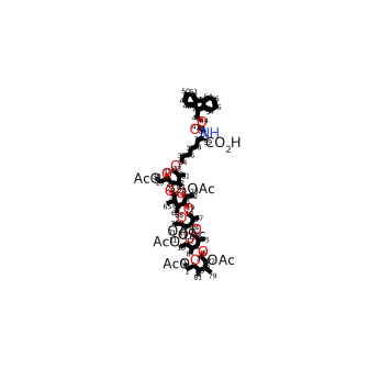 CC(=O)OCC1OC(OC2C(C)C(COC(C)=O)OC(OC3C(C)C(OC4C(COC(C)=O)OC(OC5C(COC(C)=O)OC(OCCCCCC[C@H](NC(=O)OCC6c7ccccc7-c7ccccc76)C(=O)O)C(C)C5C)C(C)C4C)OC(COC(C)=O)C3OC(C)=O)C2C)C(OC(C)=O)C(C)C1C